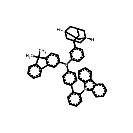 CC1(C)c2ccccc2-c2cc(N(c3ccc(-c4ccccc4-n4c5ccccc5c5ccccc54)cc3)c3cccc(C45CC6C[C@H](C4)C[C@H](C6)C5)c3)ccc21